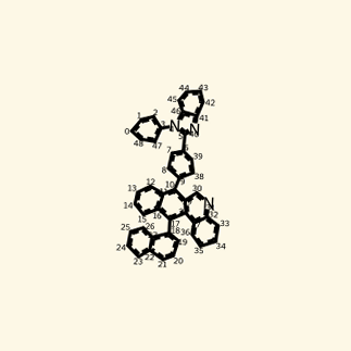 c1ccc(-n2c(-c3ccc(-c4c5ccccc5c(-c5cccc6ccccc56)c5c4cnc4ccccc45)cc3)nc3ccccc32)cc1